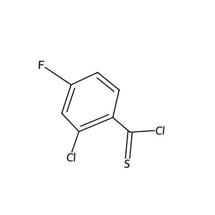 Fc1ccc(C(=S)Cl)c(Cl)c1